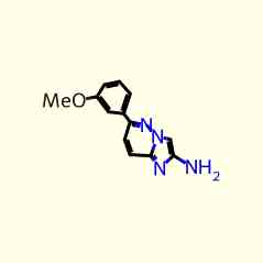 COc1cccc(-c2ccc3nc(N)cn3n2)c1